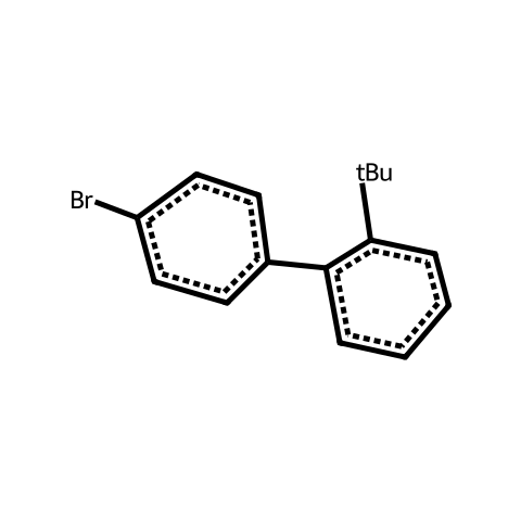 CC(C)(C)c1ccccc1-c1ccc(Br)cc1